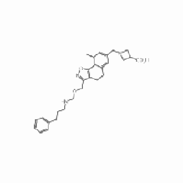 CC1C=C(CN2CC(C(=O)O)C2)C=C2CCc3c(COCNCCCc4ccccc4)noc3C21